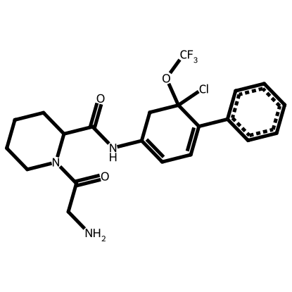 NCC(=O)N1CCCCC1C(=O)NC1=CC=C(c2ccccc2)C(Cl)(OC(F)(F)F)C1